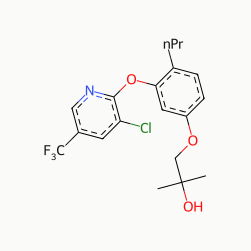 [CH2]CCc1ccc(OCC(C)(C)O)cc1Oc1ncc(C(F)(F)F)cc1Cl